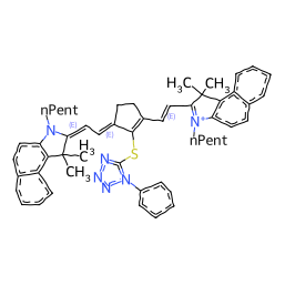 CCCCCN1/C(=C/C=C2\CCC(/C=C/C3=[N+](CCCCC)c4ccc5ccccc5c4C3(C)C)=C2Sc2nnnn2-c2ccccc2)C(C)(C)c2c1ccc1ccccc21